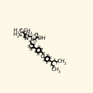 CCCC(CCC)c1ccc(OCc2ccc(-c3csc(CN(CC(=O)O)Cc4ncc(C(C)(C)C)o4)c3)cc2)cc1